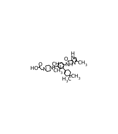 Cc1c[nH]c(C(=O)Nc2ccc(C(C)(C)N3CCN(CC(=O)O)CC3)cc2C2=CCC(C)(C)CC2)n1